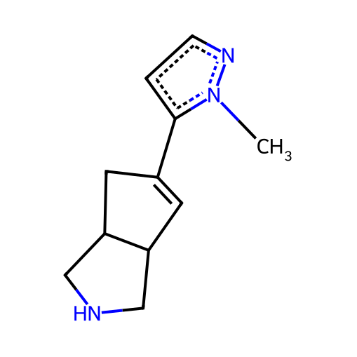 Cn1nccc1C1=CC2CNCC2C1